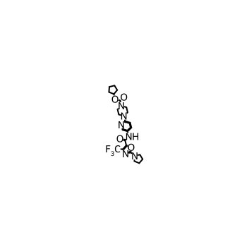 O=C(Nc1ccc(N2CCN(C(=O)OC3CCCC3)CC2)nc1)c1oc(N2CCCC2)nc1C(F)(F)F